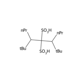 CCCC(C(C)(C)C)C(C(CCC)C(C)(C)C)(S(=O)(=O)O)S(=O)(=O)O